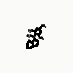 O=[N+]([O-])c1cc([N+](=O)[O-])c(N(c2cccc3ccccc23)[N+](=O)[O-])c(C(F)(F)F)c1